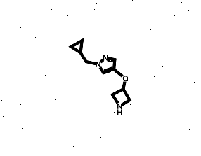 c1nn(CC2CC2)cc1OC1CNC1